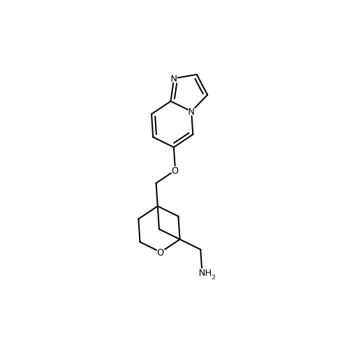 NCC12CC(COc3ccc4nccn4c3)(CCO1)C2